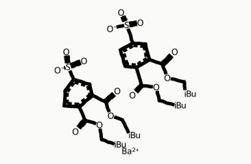 CCC(C)COC(=O)c1ccc(S(=O)(=O)[O-])cc1C(=O)OCC(C)CC.CCC(C)COC(=O)c1ccc(S(=O)(=O)[O-])cc1C(=O)OCC(C)CC.[Ba+2]